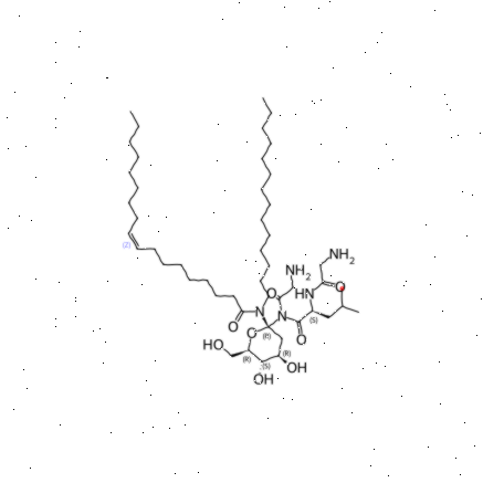 CCCCCCCC/C=C\CCCCCCCC(=O)N(CCCCCCCCCCCCCC)[C@@]1(N(C(=O)CN)C(=O)[C@H](CC(C)C)NC(=O)CN)C[C@@H](O)[C@H](O)[C@@H](CO)O1